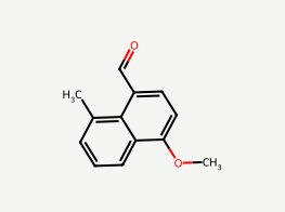 COc1ccc(C=O)c2c(C)cccc12